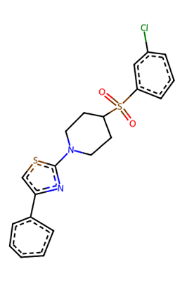 O=S(=O)(c1cccc(Cl)c1)C1CCN(c2nc(-c3ccccc3)cs2)CC1